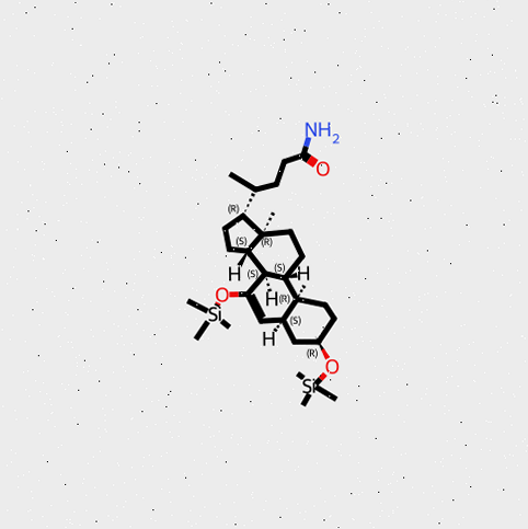 CC(CCC(N)=O)[C@H]1CC[C@H]2[C@@H]3C(O[Si](C)(C)C)=C[C@@H]4C[C@H](O[Si](C)(C)C)CC[C@]4(C)[C@H]3CC[C@]12C